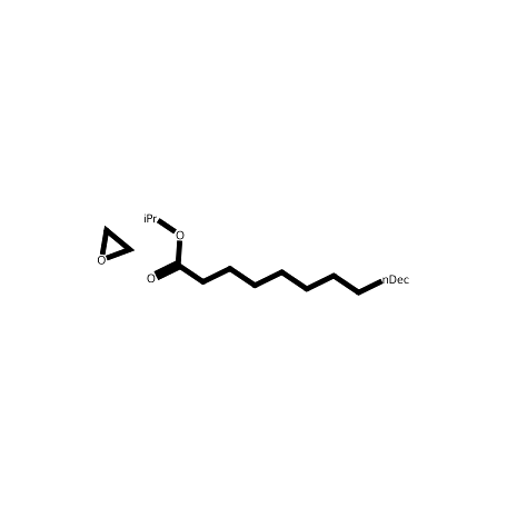 C1CO1.CCCCCCCCCCCCCCCCCC(=O)OC(C)C